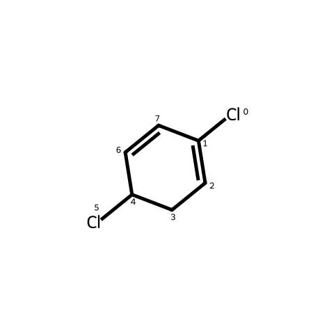 ClC1=CCC(Cl)C=C1